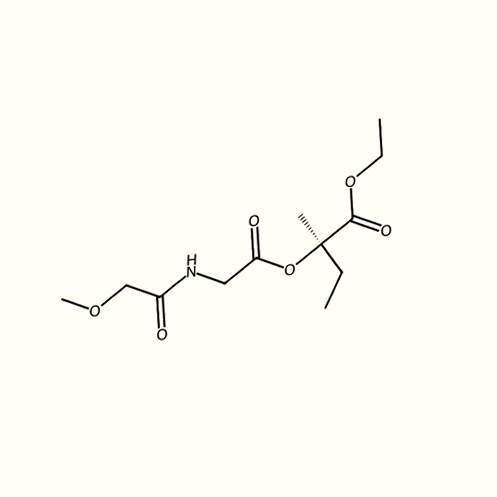 CCOC(=O)[C@@](C)(CC)OC(=O)CNC(=O)COC